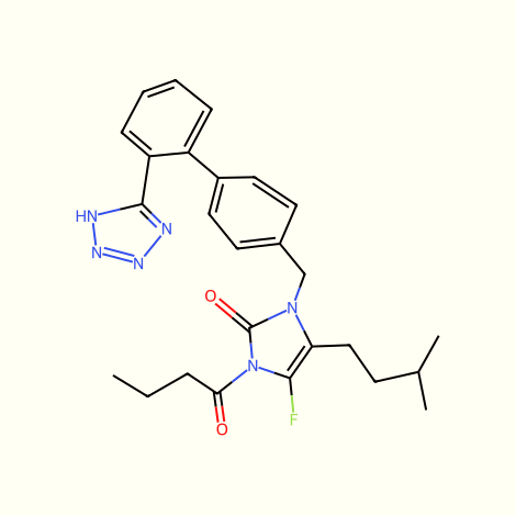 CCCC(=O)n1c(F)c(CCC(C)C)n(Cc2ccc(-c3ccccc3-c3nnn[nH]3)cc2)c1=O